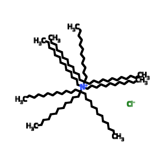 CCCCCCCCCCCCC[N+](CCCCCCCCCCCC)(C(CCCCCCCCCCCC)(CCCCCCCCCCCC)CCCCCCCCCCCC)C(CCCCCCCCCCCC)(CCCCCCCCCCCC)CCCCCCCCCCCC.[Cl-]